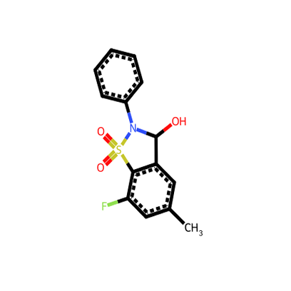 Cc1cc(F)c2c(c1)C(O)N(c1ccccc1)S2(=O)=O